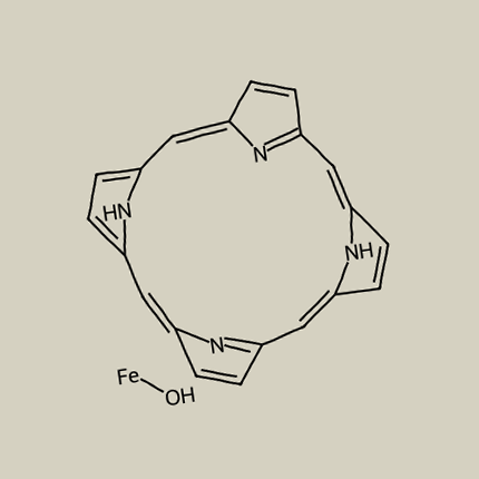 C1=Cc2cc3ccc(cc4nc(cc5ccc(cc1n2)[nH]5)C=C4)[nH]3.[OH][Fe]